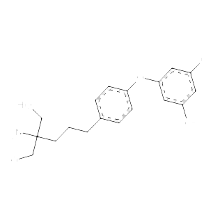 NC(CO)(CO)CCCc1ccc(Oc2cc(C(F)(F)F)cc(C(F)(F)F)c2)cc1